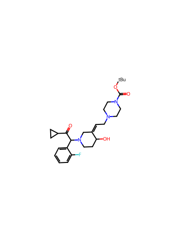 CC(C)(C)OC(=O)N1CCN(CC=C2CN(C(C(=O)C3CC3)c3ccccc3F)CCC2O)CC1